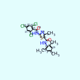 Cc1cc(C)c(NC(=O)c2sc(NC(=O)c3c(Cl)cc(Cl)cc3Cl)nc2C)c(C)c1